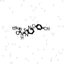 CC(C)(C)OC(=O)Nc1nc2ccc(Oc3ccc(C#N)cc3)nc2s1